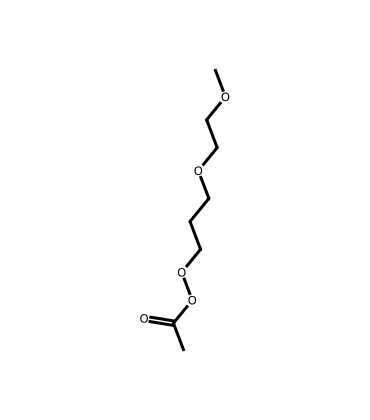 COCCOCCCOOC(C)=O